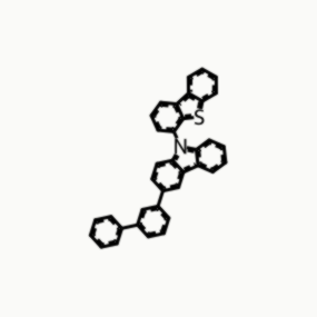 c1ccc(-c2cccc(-c3ccc4c(c3)c3ccccc3n4-c3cccc4c3sc3ccccc34)c2)cc1